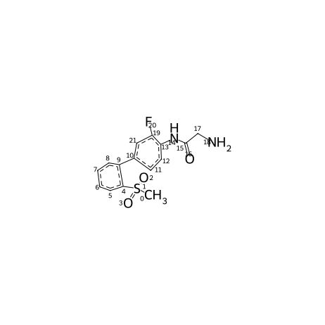 CS(=O)(=O)c1ccccc1-c1ccc(NC(=O)CN)c(F)c1